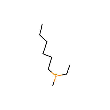 [CH2]P(CC)CCCCCC